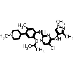 Cc1cc(Nc2ncc(Cl)c(Nc3cn(C)nc3C)n2)c(OC(C)C)cc1C1CCN(C)CC1